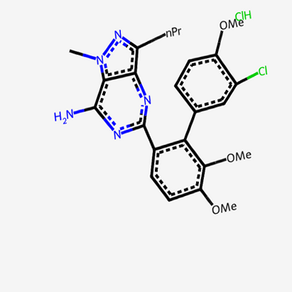 CCCc1nn(C)c2c(N)nc(-c3ccc(OC)c(OC)c3-c3ccc(OC)c(Cl)c3)nc12.Cl